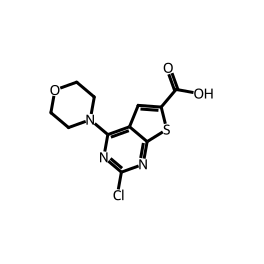 O=C(O)c1cc2c(N3CCOCC3)nc(Cl)nc2s1